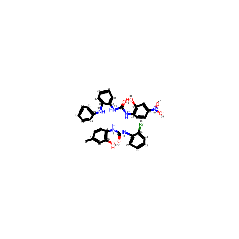 Cc1ccc(NC(=O)Nc2ccccc2Br)c(O)c1.O=C(Nc1ccc([N+](=O)[O-])cc1O)Nc1ccccc1Nc1ccccc1